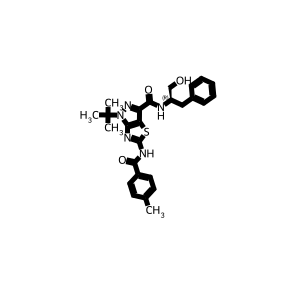 Cc1ccc(C(=O)Nc2nc3c(s2)c(C(=O)N[C@@H](CO)Cc2ccccc2)nn3C(C)(C)C)cc1